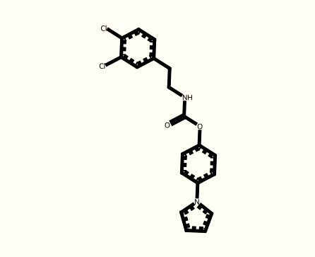 O=C(NCCc1ccc(Cl)c(Cl)c1)Oc1ccc(-n2cccc2)cc1